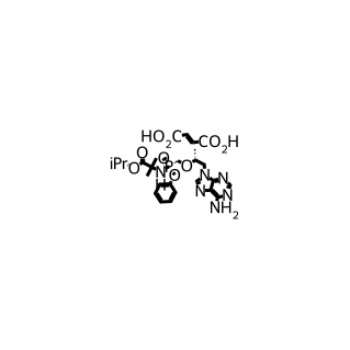 CC(C)OC(=O)C(C)(C)N[P@](=O)(CO[C@H](C)Cn1cnc2c(N)ncnc21)Oc1ccccc1.O=C(O)/C=C/C(=O)O